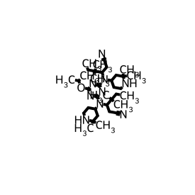 CCC(C)(C)C(CC#N)N(c1nc(OC(C)C)nc(N(C2CCNC(C)(C)C2)C(CC#N)C(C)(C)CC)n1)C1CCNC(C)(C)C1